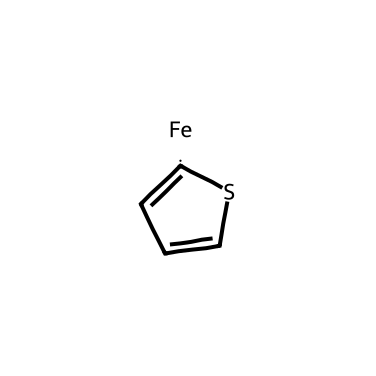 [Fe].[c]1cccs1